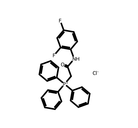 O=C(C[P+](c1ccccc1)(c1ccccc1)c1ccccc1)Nc1ccc(F)cc1F.[Cl-]